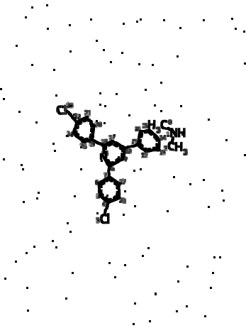 CNC.Clc1ccc(-c2cc(-c3ccccc3)cc(-c3ccc(Cl)cc3)n2)cc1